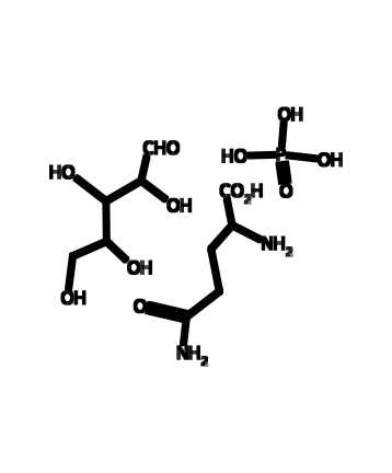 NC(=O)CCC(N)C(=O)O.O=CC(O)C(O)C(O)CO.O=P(O)(O)O